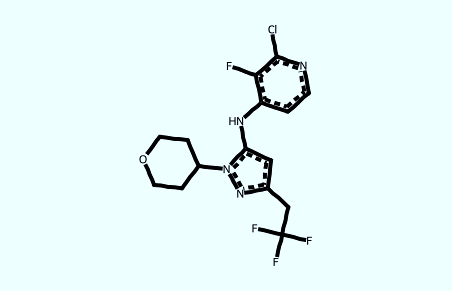 Fc1c(Nc2cc(CC(F)(F)F)nn2C2CCOCC2)ccnc1Cl